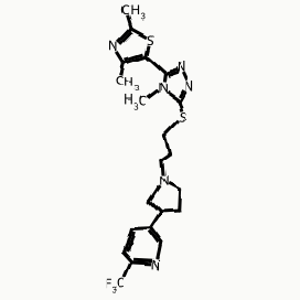 Cc1nc(C)c(-c2nnc(SCCCN3CCC(c4ccc(C(F)(F)F)nc4)C3)n2C)s1